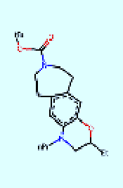 CCCN1CC(CC)Oc2cc3c(cc21)CCN(C(=O)OC(C)(C)C)CC3